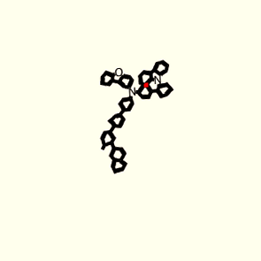 CC1C=CC(c2ccc(-c3ccc(N(c4ccc(-c5ccccc5-n5c6ccccc6c6ccccc65)cc4)c4ccc5oc6ccccc6c5c4)cc3)cc2)=CC1c1ccc2ccccc2c1